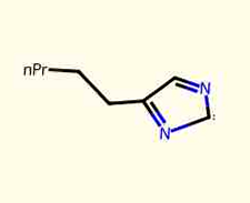 CCCCCC1=N[C]N=C1